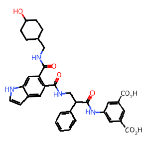 O=C(O)c1cc(NC(=O)C(CNC(=O)c2cc3cc[nH]c3cc2C(=O)NCC2CCC(O)CC2)c2ccccc2)cc(C(=O)O)c1